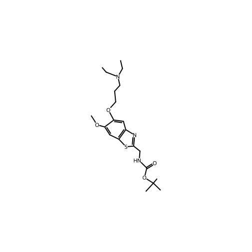 CCN(CC)CCCOc1cc2nc(CNC(=O)OC(C)(C)C)sc2cc1OC